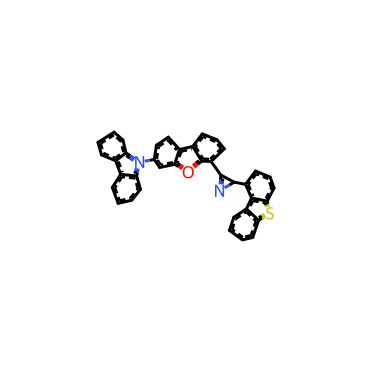 c1ccc2c(c1)sc1cccc(C3N=C3c3cccc4c3oc3cc(-n5c6ccccc6c6ccccc65)ccc34)c12